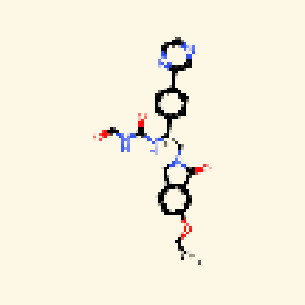 CCOc1ccc2c(c1)C(=O)N(C[C@H](NC(=O)NC=O)c1ccc(-c3cnccn3)cc1)C2